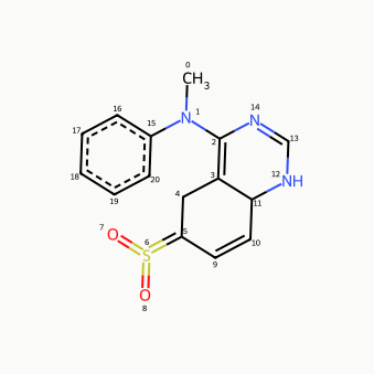 CN(C1=C2CC(=S(=O)=O)C=CC2NC=N1)c1ccccc1